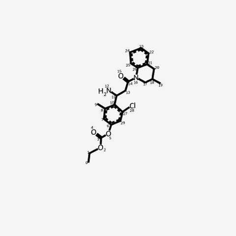 CCOC(=O)Oc1cc(C)c(C(N)CC(=O)N2CC(C)Cc3ccccc32)c(Cl)c1